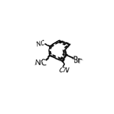 N#Cc1ccc(Br)c(C#N)c1C#N